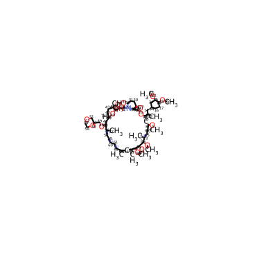 CO[C@@H]1/C(C)=C/[C@@H](C)C(=O)C[C@@H]([C@H](C)C[C@@H]2CC[C@@H](OC)[C@H](OC)C2)OC(=O)[C@@H]2CCCCN2C(=O)C(=O)[C@]2(O)O[C@@H](CC[C@H]2C)C[C@H](OCC2COCCO2)/C(C)=C/C=C/C=C/[C@@H](C)C[C@@H](C)C(=O)[C@@H]1OC